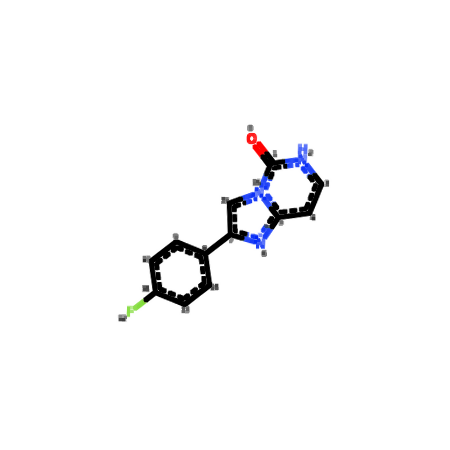 O=c1[nH]ccc2nc(-c3ccc(F)cc3)cn12